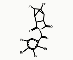 O=C(c1cc(Br)c(Br)c(Br)c1Br)N1C(=O)C2C3CC(C(Br)C3Br)C2C1=O